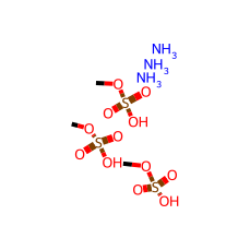 COS(=O)(=O)O.COS(=O)(=O)O.COS(=O)(=O)O.N.N.N